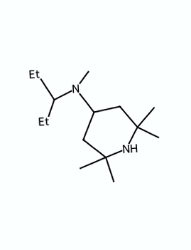 CCC(CC)N(C)C1CC(C)(C)NC(C)(C)C1